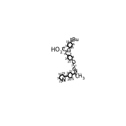 CC(=NOCCOc1ccc(C[C@H](Oc2ccc(C(C)(C)C)cc2)C(=O)O)cc1)c1ccc(-c2ccccn2)cc1